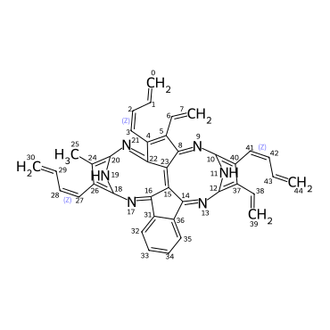 C=C/C=C\C1=C(C=C)c2nc3[nH]c(nc4c5c(nc6[nH]c(nc1c25)c(C)c6/C=C\C=C)-c1ccccc1-4)c(C=C)c3/C=C\C=C